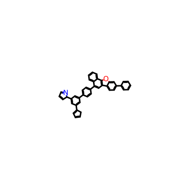 C1=CCC(c2cc(-c3ccc(-c4cc5c6ccc(-c7ccccc7)cc6oc5c5ccccc45)cc3)cc(C3C=CC=N3)c2)=C1